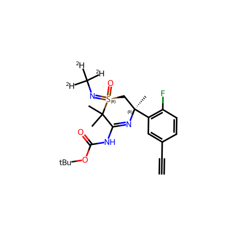 [2H]C([2H])([2H])N=[S@@]1(=O)C[C@@](C)(c2cc(C#C)ccc2F)N=C(NC(=O)OC(C)(C)C)C1(C)C